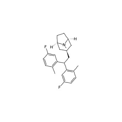 Cc1ccc(F)cc1C(C[C@H]1C[C@H]2CC[C@@H](C1)N2C)c1cc(F)ccc1C